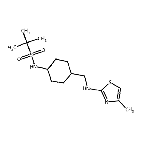 Cc1csc(NCC2CCC(NS(=O)(=O)C(C)(C)C)CC2)n1